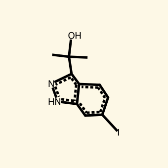 CC(C)(O)c1n[nH]c2cc(I)ccc12